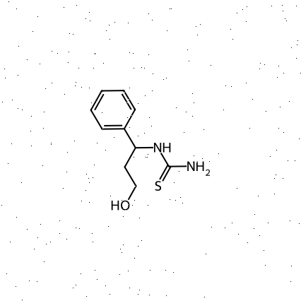 NC(=S)NC(CCO)c1ccccc1